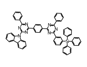 c1ccc(-c2nc(-c3ccc(-c4nc(-c5ccccc5)nc(-n5c6ccccc6c6ccccc65)n4)cc3)nc(-c3cccc([Si](c4ccccc4)(c4ccccc4)c4ccccc4)c3)n2)cc1